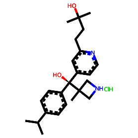 CC(C)c1ccc([C@](O)(c2ccnc(CCC(C)(C)O)c2)C2(C)CNC2)cc1.Cl